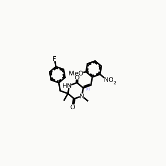 COc1cccc([N+](=O)[O-])c1/C=C1\C(=O)NC(C)(Cc2ccc(F)cc2)C(=O)N1C